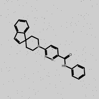 O=C(Nc1ccccc1)c1ccc(N2CCC3(C=Cc4ccccc43)CC2)nn1